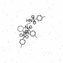 Cc1ccc(S(=O)(=O)NCCN(C2CCCCC2NS(=O)(=O)c2ccc(C)cc2)S(=O)(=O)c2ccc(C)cc2)cc1